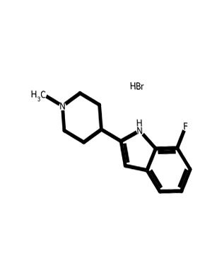 Br.CN1CCC(c2cc3cccc(F)c3[nH]2)CC1